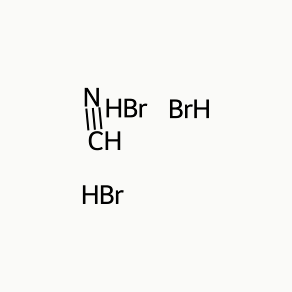 Br.Br.Br.C#N